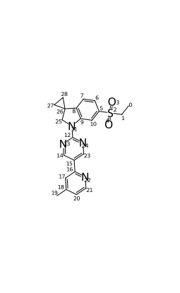 CCS(=O)(=O)c1ccc2c(c1)N(c1ncc(-c3cc(C)ccn3)cn1)CC21CC1